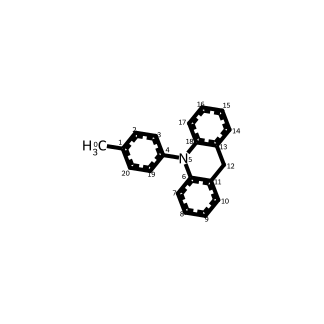 Cc1ccc(N2c3ccccc3Cc3ccccc32)cc1